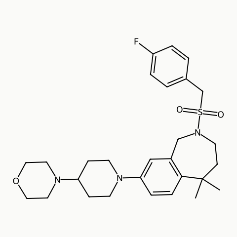 CC1(C)CCN(S(=O)(=O)Cc2ccc(F)cc2)Cc2cc(N3CCC(N4CCOCC4)CC3)ccc21